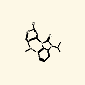 CC(C)n1c(=O)n(-c2nc(Cl)ncc2N(C)C)c2ccccc21